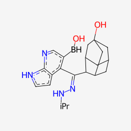 CC(C)N/N=C(\c1c(BO)cnc2[nH]ccc12)C1C2CC3CC1CC(O)(C3)C2